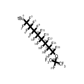 CC(C)(C)C(F)(F)C(F)(F)C(F)(F)C(F)(F)C(F)(F)C(F)(F)C(F)(F)C(F)(F)OC(F)(C(F)(F)F)C(F)(F)F